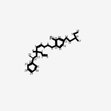 C=CCC(C)(/C=C\CCCc1ccc(CCC(C)CC)cc1F)C[C@H](C)c1ccccc1